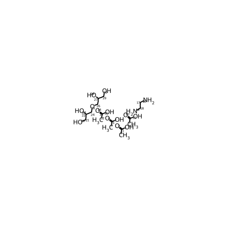 CC(=O)O.CC(=O)O.CC(=O)O.CC(=O)O.NCCN.OCC(O)COCC(O)CO